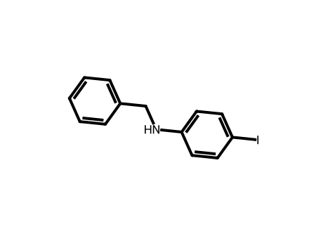 Ic1ccc(NCc2ccccc2)cc1